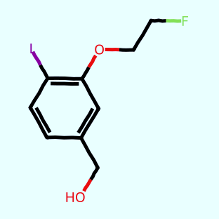 OCc1ccc(I)c(OCCF)c1